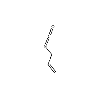 C=C[CH]N=C=O